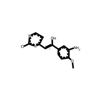 COc1ccc(/C(O)=C/c2ccnc(Cl)n2)cc1N